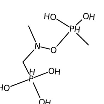 CN(C[PH](O)(O)O)O[PH](C)(O)O